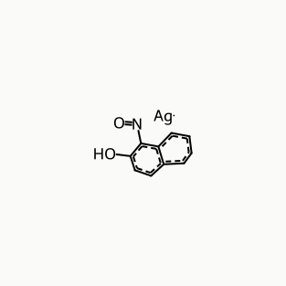 O=Nc1c(O)ccc2ccccc12.[Ag]